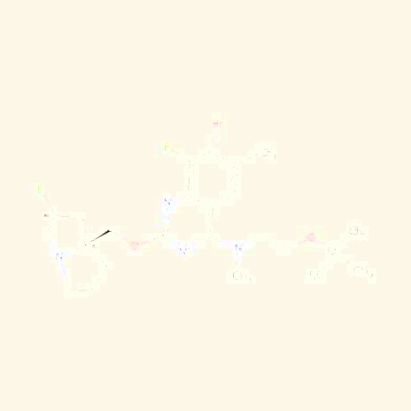 CN(CCO[Si](C)(C)C(C)(C)C)c1nc(OC[C@@]23CCCN2C[C@H](F)C3)nc2c(F)c(Br)c(C(F)(F)F)cc12